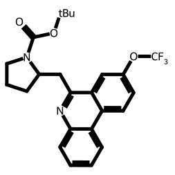 CC(C)(C)OC(=O)N1CCCC1Cc1nc2ccccc2c2ccc(OC(F)(F)F)cc12